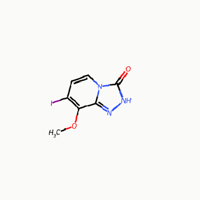 COc1c(I)ccn2c(=O)[nH]nc12